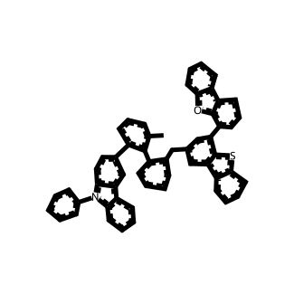 Cc1cccc(-c2ccc3c(c2)c2ccccc2n3-c2ccccc2)c1-c1ccccc1Cc1cc(-c2cccc3c2oc2ccccc23)c2sc3ccccc3c2c1